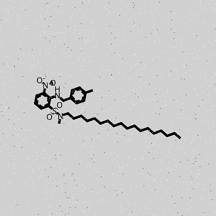 CCCCCCCCCCCCCCCCCCN(C)S(=O)(=O)c1cccc([N+](=O)[O-])c1NCc1ccc(C)cc1